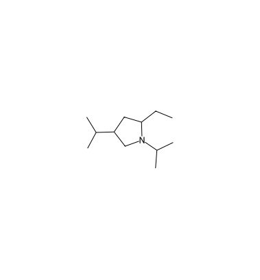 CCC1CC(C(C)C)CN1C(C)C